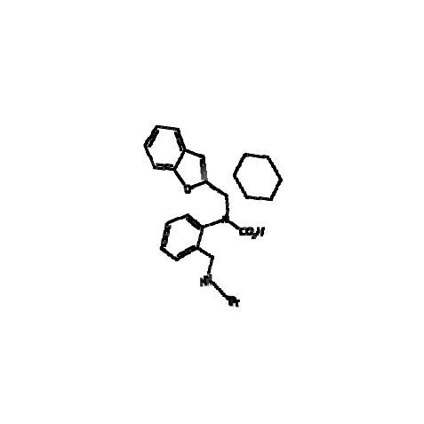 C1CCCCC1.CC(C)NCc1ccccc1N(Cc1cc2ccccc2o1)C(=O)O